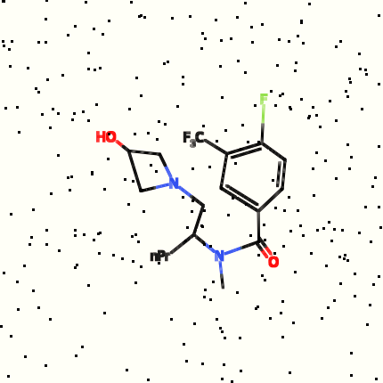 CCCC(CN1CC(O)C1)N(C)C(=O)c1ccc(F)c(C(F)(F)F)c1